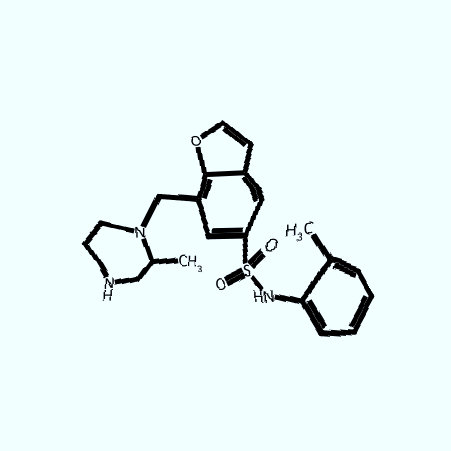 Cc1ccccc1NS(=O)(=O)c1cc(CN2CCNCC2C)c2occc2c1